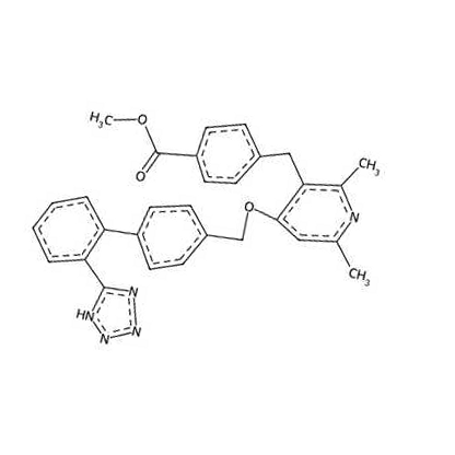 COC(=O)c1ccc(Cc2c(OCc3ccc(-c4ccccc4-c4nnn[nH]4)cc3)cc(C)nc2C)cc1